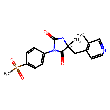 Cc1cnccc1C[C@@]1(C)NC(=O)N(c2ccc(S(=O)(=O)C(F)(F)F)cc2)C1=O